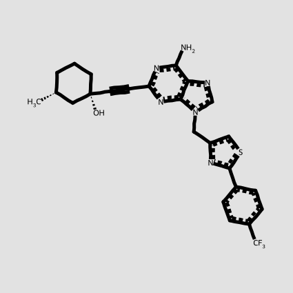 C[C@@H]1CCC[C@@](O)(C#Cc2nc(N)c3ncn(Cc4csc(-c5ccc(C(F)(F)F)cc5)n4)c3n2)C1